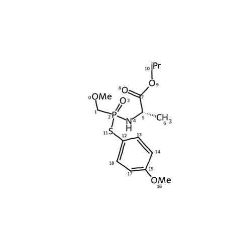 COCP(=O)(N[C@@H](C)C(=O)OC(C)C)Sc1ccc(OC)cc1